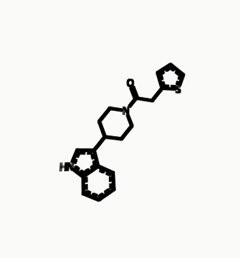 O=C(Cc1cccs1)N1CCC(c2c[nH]c3ccccc23)CC1